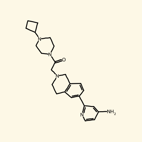 Nc1ccnc(-c2ccc3c(c2)CCN(CC(=O)N2CCN(C4CCC4)CC2)C3)c1